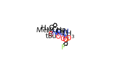 CNC(C(=O)NC(C(=O)N(C)C(/C=C(\C)C(=O)NS(=O)(=O)Cc1ccc(F)cc1)C(C)C)C(C)(C)C)C(C)(C)c1ccccc1